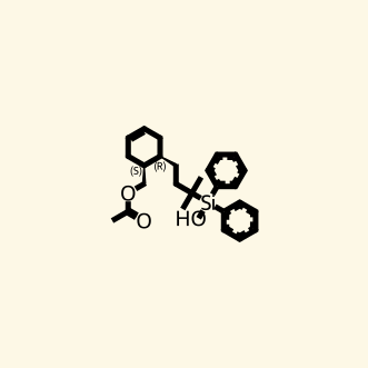 CC(=O)OC[C@H]1CC=CC[C@H]1CCC(C)(C)[Si](O)(c1ccccc1)c1ccccc1